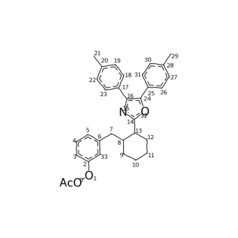 CC(=O)OOc1cccc(CC2CCCCC2c2nc(-c3ccc(C)cc3)c(-c3ccc(C)cc3)o2)c1